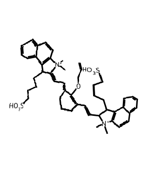 C=CCOC1=C(C=CC2C(CCCCS(=O)(=O)O)c3c(ccc4ccccc34)[N+]2(C)C)CCCC1=CC=C1C(CCCCS(=O)(=O)O)c2c(ccc3ccccc23)[N+]1(C)C